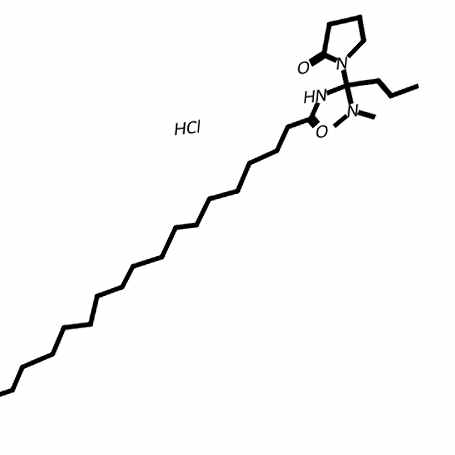 CCCCCCCCCCCCCCCCCC(=O)NC(CCC)(N(C)C)N1CCCC1=O.Cl